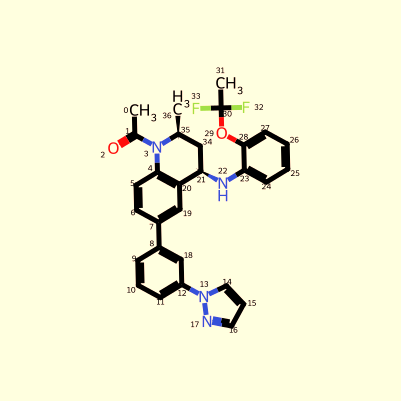 CC(=O)N1c2ccc(-c3cccc(-n4cccn4)c3)cc2[C@H](Nc2ccccc2OC(C)(F)F)C[C@@H]1C